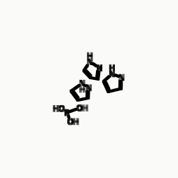 OB(O)O.c1cn[nH]c1.c1cn[nH]c1.c1cn[nH]c1